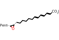 CCCCC[C@H]1O[C@H]1CCCCCCC=CC=CC=CC(=O)O